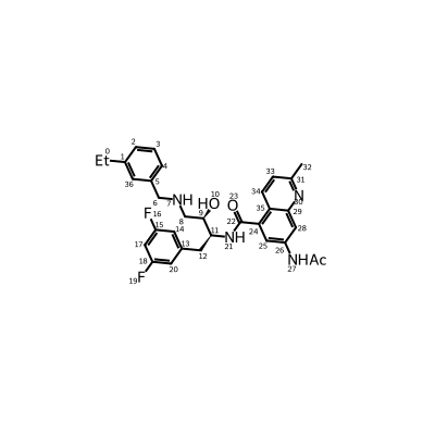 CCc1cccc(CNC[C@@H](O)[C@H](Cc2cc(F)cc(F)c2)NC(=O)c2cc(NC(C)=O)cc3nc(C)ccc23)c1